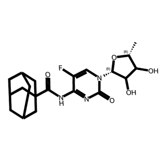 C[C@H]1O[C@@H](n2cc(F)c(NC(=O)C34CC5CC(CC(C5)C3)C4)nc2=O)C(O)C1O